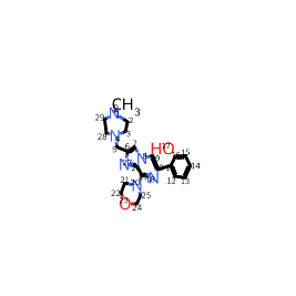 CN1CCN(Cc2cn3cc(-c4ccccc4O)nc(N4CCOCC4)c3n2)CC1